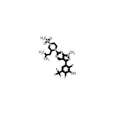 CC(C)CC1CN(S(C)(=O)=O)CCN1c1ncc2c(-c3cc(C(F)(F)F)c(F)c(O)c3F)nn(C)c2n1